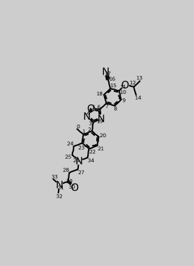 Cc1c(-c2noc(-c3ccc(OC(C)C)c(C#N)c3)n2)ccc2c1CCN(CCC(=O)N(C)C)C2